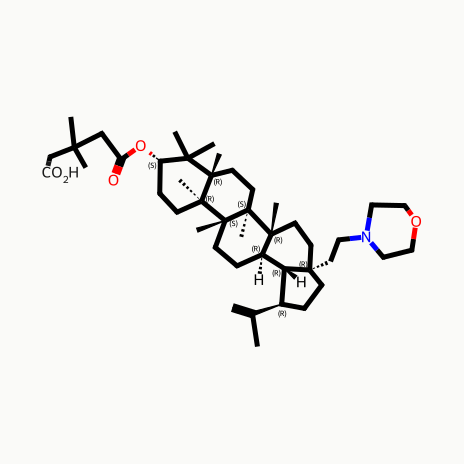 C=C(C)[C@@H]1CC[C@]2(CCN3CCOCC3)CC[C@]3(C)[C@H](CC[C@]4(C)[C@@]5(C)CC[C@H](OC(=O)CC(C)(C)CC(=O)O)C(C)(C)[C@]5(C)CC[C@]43C)[C@@H]12